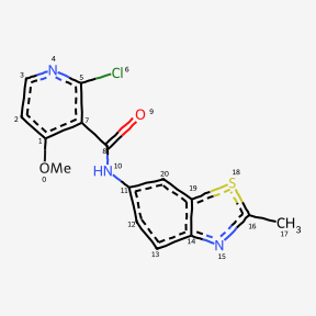 COc1ccnc(Cl)c1C(=O)Nc1ccc2nc(C)sc2c1